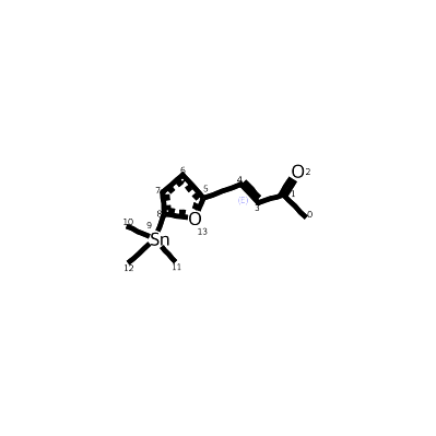 CC(=O)/C=C/c1cc[c]([Sn]([CH3])([CH3])[CH3])o1